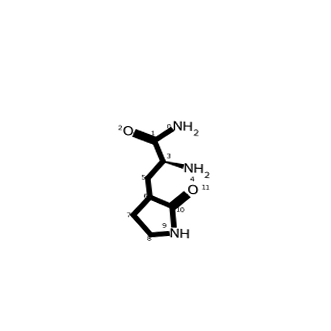 NC(=O)[C@@H](N)CC1CCNC1=O